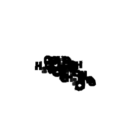 Cn1cc(CC(NC(=O)c2ccc3c(c2)nc(-c2ccoc2)n3C2CCCCC2)C(=O)O)c2cc(OC(C)(C)C(=O)O)ccc21